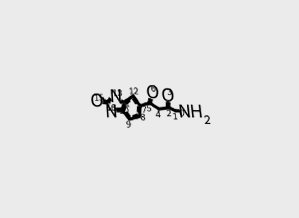 NCC(=O)CC(=O)c1ccc2c(c1)=NC(=O)N=2